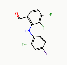 O=Cc1ccc(F)c(F)c1Nc1ccc(I)cc1F